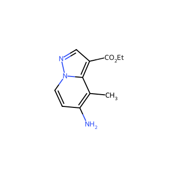 CCOC(=O)c1cnn2ccc(N)c(C)c12